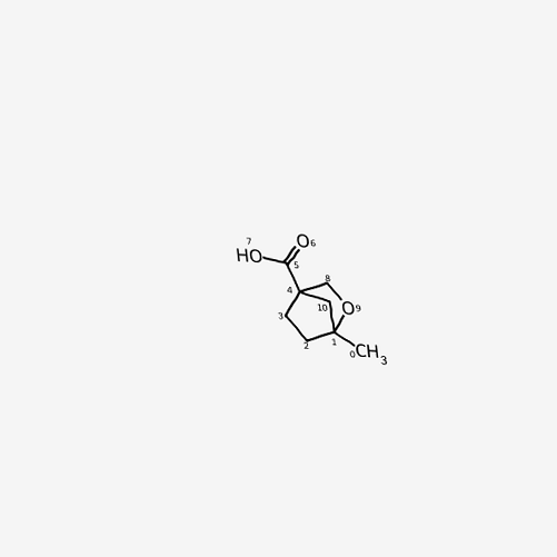 CC12CCC(C(=O)O)(CO1)C2